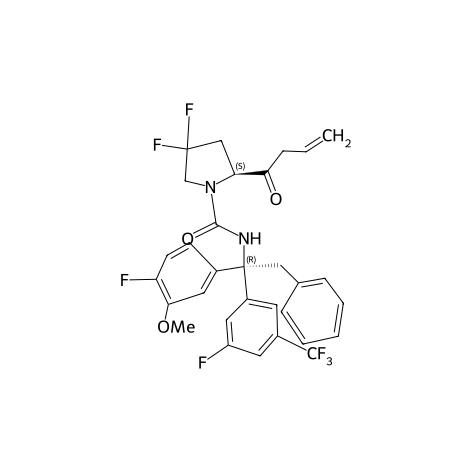 C=CCC(=O)[C@@H]1CC(F)(F)CN1C(=O)N[C@@](Cc1ccccc1)(c1cc(F)cc(C(F)(F)F)c1)c1ccc(F)c(OC)c1